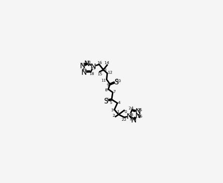 CC(C)(CCC(=S)CCC(=S)CCC(C)(C)Cn1cnnn1)Cn1cnnn1